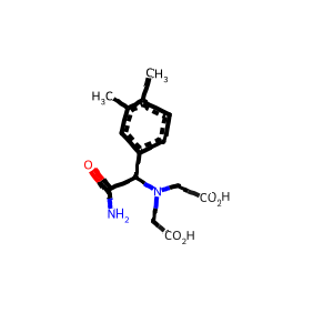 Cc1ccc(C(C(N)=O)N(CC(=O)O)CC(=O)O)cc1C